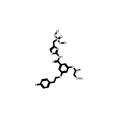 CCOP(=O)(Cc1csc(NC(=O)c2cc(OCCc3ccc(F)cc3)cc(O[C@@H](C)COC)c2)n1)OCC